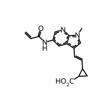 C=CC(=O)Nc1cnc2c(c1)c(/C=C/C1CC1C(=O)O)cn2C